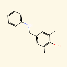 CC(C)(C)c1cc(CNc2ccccc2)cc(C(C)(C)C)c1O